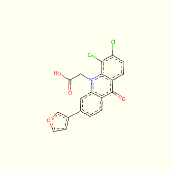 O=C(O)Cn1c2cc(-c3ccoc3)ccc2c(=O)c2ccc(Cl)c(Cl)c21